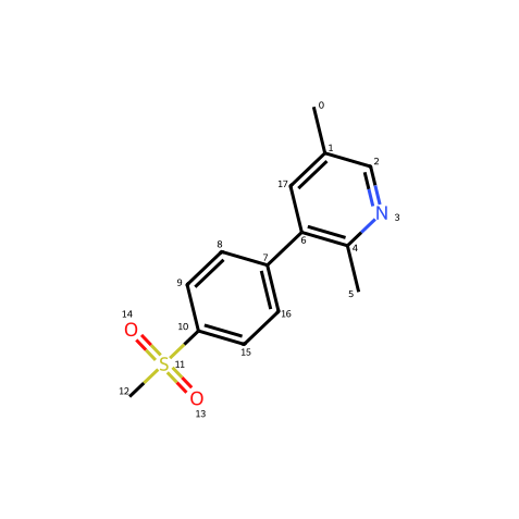 Cc1cnc(C)c(-c2ccc(S(C)(=O)=O)cc2)c1